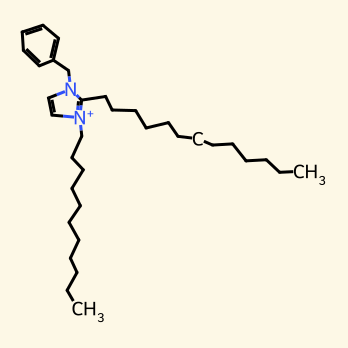 CCCCCCCCCCCCCc1n(Cc2ccccc2)cc[n+]1CCCCCCCCCCC